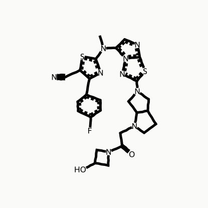 CN(c1nc(-c2ccc(F)cc2)c(C#N)s1)c1cnc2sc(N3CC4CCN(CC(=O)N5CC(O)C5)C4C3)nn12